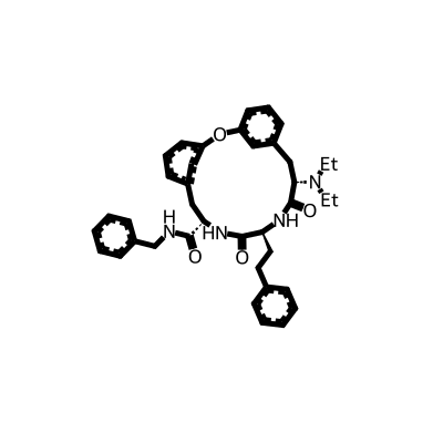 CCN(CC)[C@H]1Cc2cccc(c2)Oc2cccc(c2)C[C@@H](C(=O)NCc2ccccc2)NC(=O)[C@H](CCc2ccccc2)NC1=O